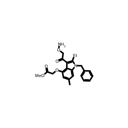 CCc1c(C(=O)CON)c2c(OCC(=O)OC)cc(C)cc2n1Cc1ccccc1